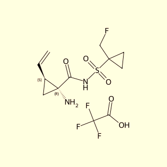 C=C[C@@H]1C[C@]1(N)C(=O)NS(=O)(=O)C1(CF)CC1.O=C(O)C(F)(F)F